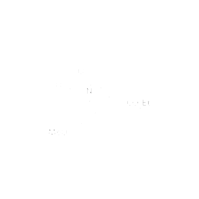 CCOC(=O)CCCN1C(=O)C(=O)c2cc(OC)ccc21